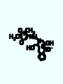 Cn1c(NCCN(CCO)C(CO)CCc2ccccc2[N+](=O)[O-])cc(=O)n(C)c1=O